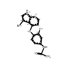 CC(=O)Nc1ccc(Oc2ccnc3[nH]cc(Br)c23)c(F)c1